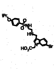 CC(C)Oc1ccc(S(=O)(=O)NCCNCc2cn(CC(=O)O)c3cc(Br)ccc23)cc1